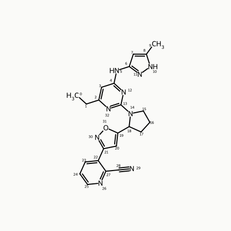 CCc1cc(Nc2cc(C)[nH]n2)nc(N2CCCC2c2cc(-c3cccnc3C#N)no2)n1